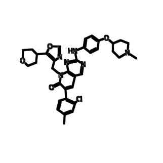 Cc1ccc(-c2cc3cnc(Nc4ccc(OC5CCN(C)CC5)cc4)nc3n(Cc3ncoc3C3CCOCC3)c2=O)c(Cl)c1